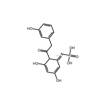 O=C(Cc1cccc(O)c1)C1C(O)=CC(O)=C/C1=N\P(=O)(O)O